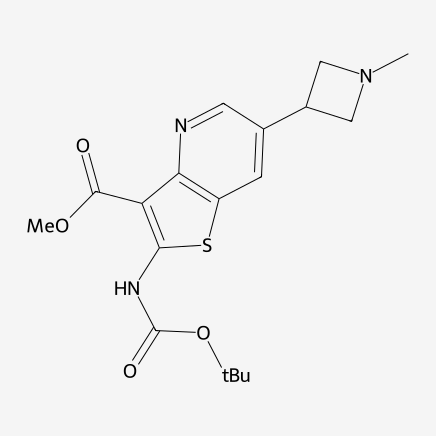 COC(=O)c1c(NC(=O)OC(C)(C)C)sc2cc(C3CN(C)C3)cnc12